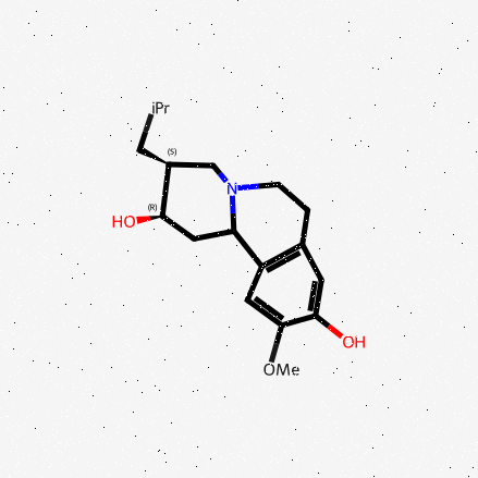 COc1cc2c(cc1O)CCN1C[C@H](CC(C)C)[C@H](O)CC21